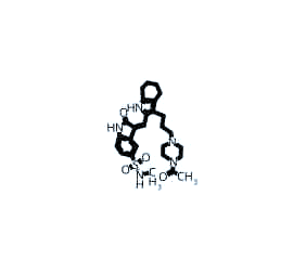 CNS(=O)(=O)c1ccc2c(c1)/C(=C/c1[nH]c3c(c1CCCN1CCN(C(C)=O)CC1)CCCC3)C(=O)N2